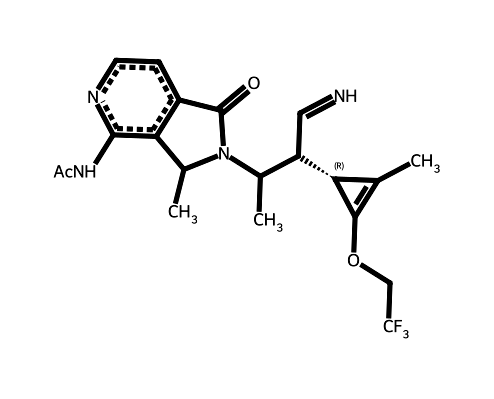 CC(=O)Nc1nccc2c1C(C)N(C(C)C(C=N)[C@@H]1C(C)=C1OCC(F)(F)F)C2=O